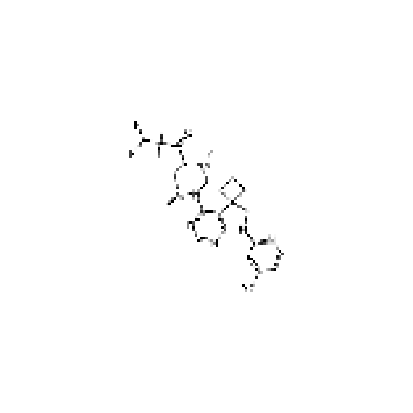 C[C@@H]1CN(c2ncnc3c2C2(CCC2)CN3c2cc(C#N)ccn2)[C@@H](C)CN1C(=O)C(C)(C)C(F)F